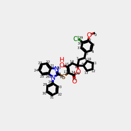 COc1ccc(CCC2(C3CCCC3)CC(O)=C(Sc3nc4ccccc4n3-c3ccccc3)C(=O)O2)cc1Cl